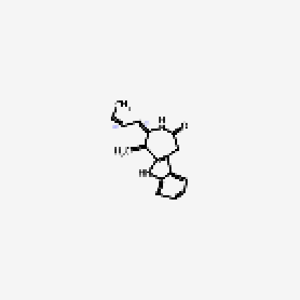 C=C1/C(=C\C=C/C)NC(=O)Cc2c1[nH]c1ccccc21